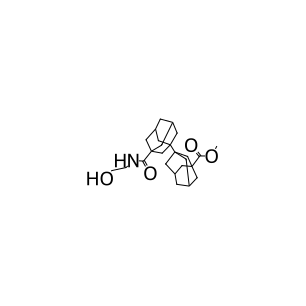 COC(=O)C12CC3CC(C1)CC(C14CC5CC(CC(C(=O)NCCO)(C5)C1)C4)(C3)C2